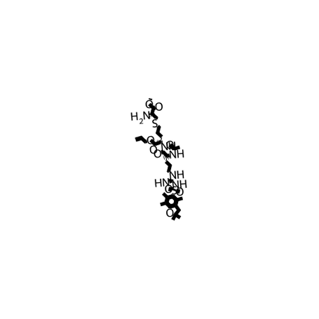 C=CCOC(=O)[C@H](CCCSC[C@H](N)C(=O)OC)NC(=O)[C@@H](CCCNC(=N)NS(=O)(=O)c1c(C)c(C)c2c(c1C)CC(C)(C)O2)NC(C)=O